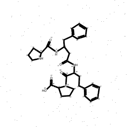 O=C(CC(Cc1ccccc1)NC(=O)C1CCCN1)NC(CCc1ccccc1)C(=O)N1CCCC1C(=O)O